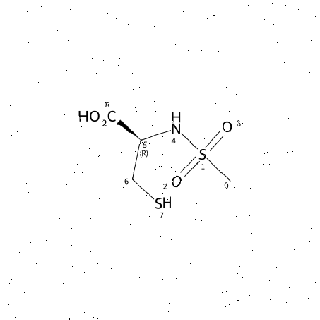 CS(=O)(=O)N[C@@H](CS)C(=O)O